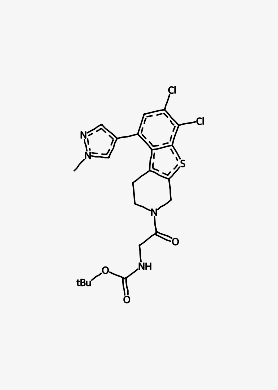 Cn1cc(-c2cc(Cl)c(Cl)c3sc4c(c23)CCN(C(=O)CNC(=O)OC(C)(C)C)C4)cn1